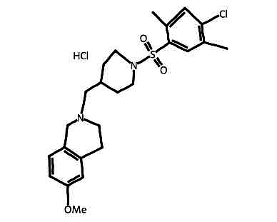 COc1ccc2c(c1)CCN(CC1CCN(S(=O)(=O)c3cc(C)c(Cl)cc3C)CC1)C2.Cl